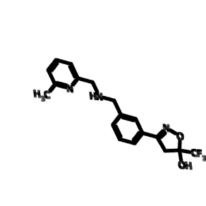 Cc1cccc(CNCc2cccc(C3=NOC(O)(C(F)(F)F)C3)c2)n1